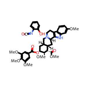 COC(=O)[C@H]1[C@H]2C[C@@H]3c4[nH]c5cc(OC)ccc5c4CCN3C[C@H]2C[C@@H](OC(=O)c2cc(OC)c(OC)c(OC)c2)[C@@H]1OC.O=C=Nc1ccccc1O